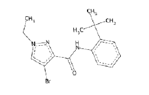 CCn1cc(Br)c(C(=O)Nc2ccccc2C(C)(C)C)n1